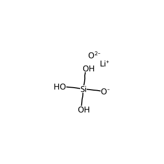 [Li+].[O-2].[O-][Si](O)(O)O